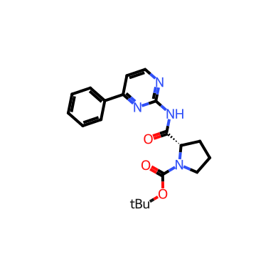 CC(C)(C)OC(=O)N1CCC[C@H]1C(=O)Nc1nccc(-c2ccccc2)n1